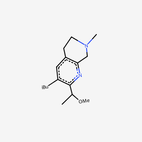 CCC(C)c1cc2c(nc1C(C)OC)CN(C)CC2